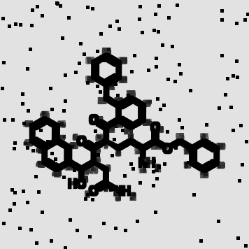 NC(=O)C[C@H](C(=O)[C@H](CCC(N)C(=O)OCc1ccccc1)C(=O)c1ccccc1Cc1ccccc1)C(O)c1ccc2ccccc2c1